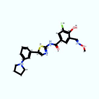 CON=Cc1cc(C(=O)Nc2ncc(-c3cccc(N4CCCC4)c3)s2)cc(F)c1O